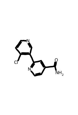 NC(=O)c1ccnc(-c2cnccc2Cl)c1